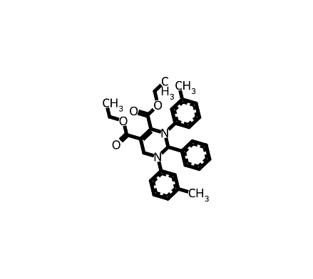 CCOC(=O)C1=C(C(=O)OCC)N(c2cccc(C)c2)C(c2ccccc2)N(c2cccc(C)c2)C1